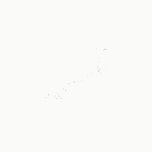 c1ccc(C2=NC(c3ccc4c(c3)sc3cc(-c5cccc6c5oc5ccc(-c7ccc8c(c7)sc7cc(C9NC(c%10ccccc%10)=[N+]9c9ccc%10c(c9)sc9cc(-c%11cccc%12c%11oc%11ccccc%11%12)ccc9%10)ccc78)cc56)ccc34)NC(c3cccc4c3sc3ccccc34)=N2)cc1